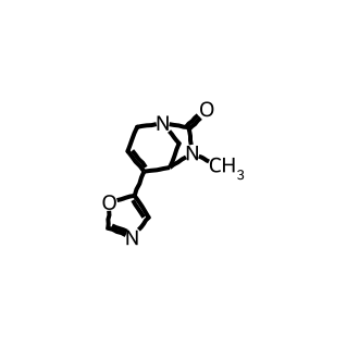 CN1C(=O)N2CC=C(c3cnco3)C1C2